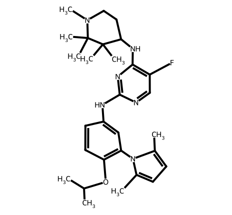 Cc1ccc(C)n1-c1cc(Nc2ncc(F)c(NC3CCN(C)C(C)(C)C3(C)C)n2)ccc1OC(C)C